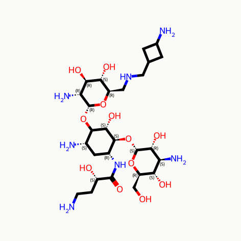 NCC[C@H](O)C(=O)N[C@@H]1C[C@H](N)C(O[C@H]2O[C@H](CNCC3CC(N)C3)[C@@H](O)[C@H](O)[C@H]2N)[C@H](O)[C@H]1O[C@H]1O[C@H](CO)[C@@H](O)[C@H](N)[C@H]1O